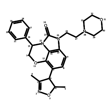 CC1=NOC(C)C1c1ccc2c3c1OCC(c1ccccc1)n3c(=O)n2CCN1CCOCC1